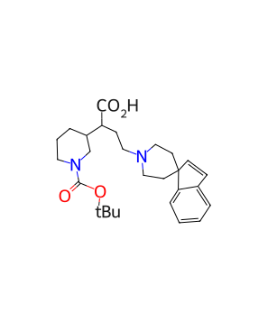 CC(C)(C)OC(=O)N1CCCC(C(CCN2CCC3(C=Cc4ccccc43)CC2)C(=O)O)C1